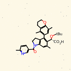 Cc1ccc(C(=O)N2CCc3c2cc(C)c([C@H](OC(C)(C)C)C(=O)O)c3-c2cc(C)c3c(c2C)CCCO3)cn1